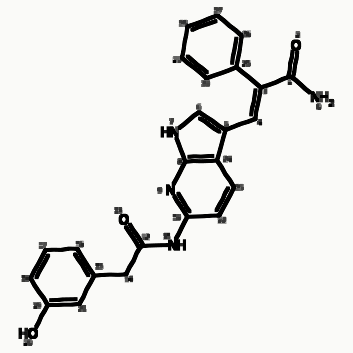 NC(=O)/C(=C/c1c[nH]c2nc(NC(=O)Cc3cccc(O)c3)ccc12)c1ccccc1